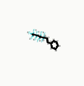 FC(F)(F)C(F)(F)C(F)(F)C(F)(F)C=Cc1ccccc1